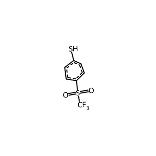 O=S(=O)(c1ccc(S)cc1)C(F)(F)F